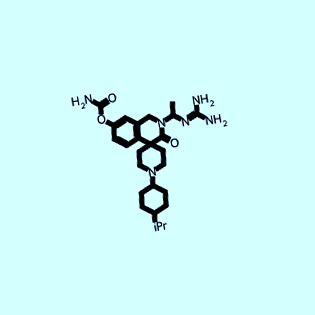 CC(C)C1CCC(N2CCC3(CC2)C(=O)N(C(C)N=C(N)N)Cc2cc(OC(N)=O)ccc23)CC1